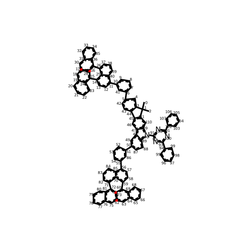 CC1(C)c2cc(-c3cccc(-c4ccc(-c5cccc6ccccc56)c5c(-c6cccc7ccccc67)cccc45)c3)ccc2-c2cc3c4cc(-c5cccc(-c6ccc(-c7cccc8ccccc78)c7c(-c8cccc9ccccc89)cccc67)c5)ccc4n(-c4nc(-c5ccccc5)nc(-c5ccccc5)n4)c3cc21